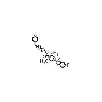 C[C@@H]1CN(c2nc3ccc(F)cc3s2)C[C@@H](C)N1C(=O)OC1CC2(C1)CN(Cc1ccncc1)C2